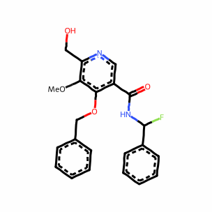 COc1c(CO)ncc(C(=O)NC(F)c2ccccc2)c1OCc1ccccc1